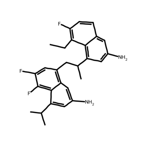 CCc1c(F)ccc2cc(N)cc(C(C)Cc3cc(F)c(F)c4c(C(C)C)cc(N)cc34)c12